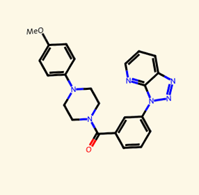 COc1ccc(N2CCN(C(=O)c3cccc(-n4nnc5cccnc54)c3)CC2)cc1